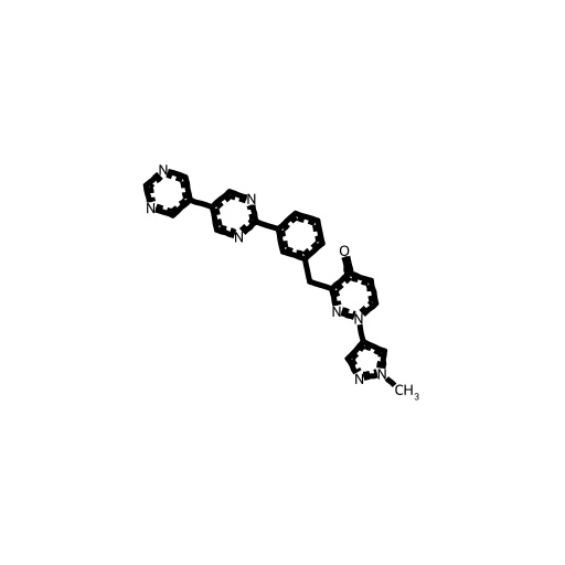 Cn1cc(-n2ccc(=O)c(Cc3cccc(-c4ncc(-c5cncnc5)cn4)c3)n2)cn1